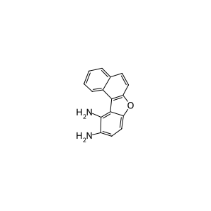 Nc1ccc2oc3ccc4ccccc4c3c2c1N